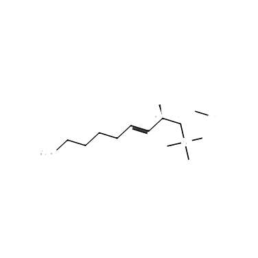 CCCCCCCCCCCCC/C=C/[C@@H](O)[C@H](CO)[N+](C)(C)C